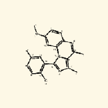 COc1ccc2nc(C)c3c(C)nc(-c4cc(C)ccc4Cl)n3c2n1